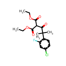 CCOC(=O)C(C(=O)OCC)C(=O)C(C)(C)c1ccc(Cl)cc1F